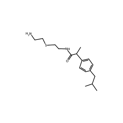 CC(C)Cc1ccc(C(C)C(=O)NCCSCCN)cc1